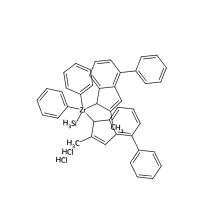 CC1=Cc2c(-c3ccccc3)cccc2[CH]1[Zr]([SiH3])([c]1ccccc1)([c]1ccccc1)[CH]1C(C)=Cc2c(-c3ccccc3)cccc21.Cl.Cl